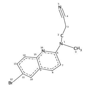 CN(CCC#N)c1ccc2cc(Br)ccc2n1